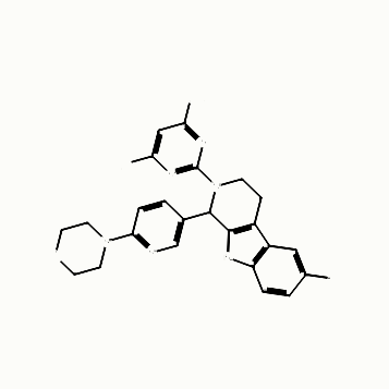 Cc1cc(C)nc(N2CCc3c([nH]c4ccc(Cl)cc34)C2c2ccc(N3CCOCC3)nc2)n1